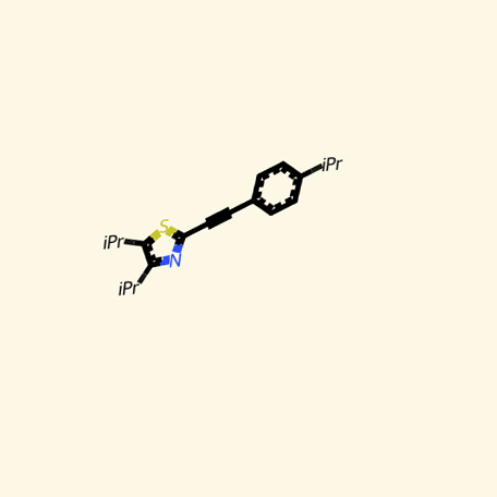 CC(C)c1ccc(C#Cc2nc(C(C)C)c(C(C)C)s2)cc1